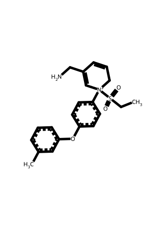 CCS(=O)(=O)[N+]1(c2ccc(Oc3cccc(C)c3)cc2)C=C(CN)C=CC1